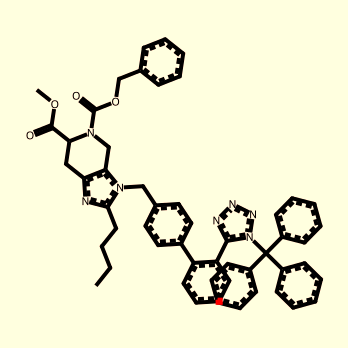 CCCCc1nc2c(n1Cc1ccc(-c3ccccc3-c3nnnn3C(c3ccccc3)(c3ccccc3)c3ccccc3)cc1)CN(C(=O)OCc1ccccc1)C(C(=O)OC)C2